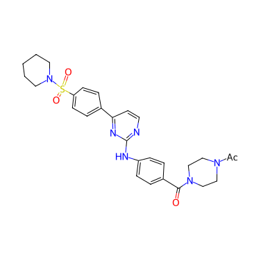 CC(=O)N1CCN(C(=O)c2ccc(Nc3nccc(-c4ccc(S(=O)(=O)N5CCCCC5)cc4)n3)cc2)CC1